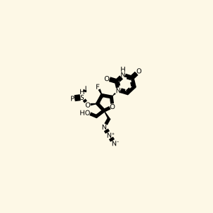 [N-]=[N+]=NC[C@]1(CO)O[C@@H](n2ccc(=O)[nH]c2=O)[C@H](F)[C@@H]1O[SH](#P)I